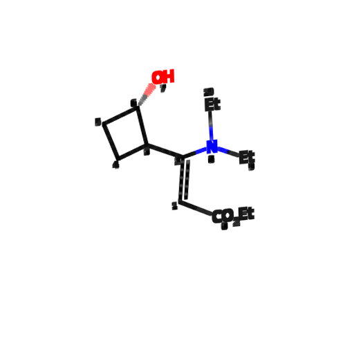 CCOC(=O)/C=C(/C1CC[C@@H]1O)N(CC)CC